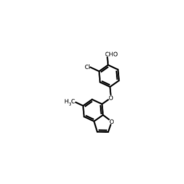 Cc1cc(Oc2ccc(C=O)c(Cl)c2)c2occc2c1